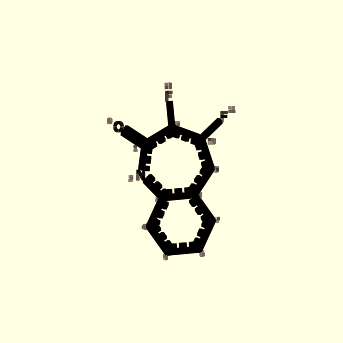 O=c1nc2ccccc2cc(F)c1F